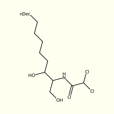 CCCCCCCCCCCCCCCC(O)C(CO)NC(=O)C(Cl)Cl